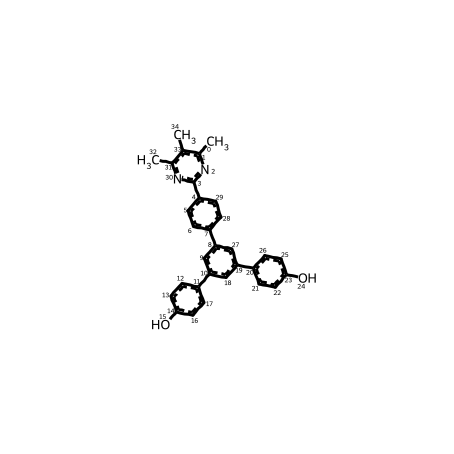 Cc1nc(-c2ccc(-c3cc(-c4ccc(O)cc4)cc(-c4ccc(O)cc4)c3)cc2)nc(C)c1C